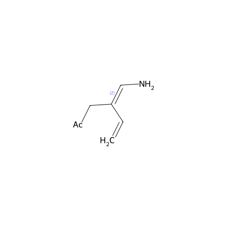 C=C/C(=C\N)CC(C)=O